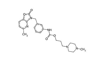 Cc1ccc2oc(=O)n(Cc3cccc(NC(=O)OCCCN4CCN(C)CC4)c3)c2n1